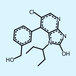 CCC(CC)n1c(O)nc2ncc(Cl)c(-c3cccc(CO)c3)c21